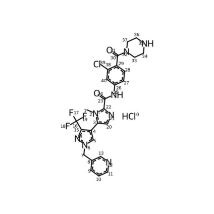 Cl.Cn1c(-c2cn(Cc3cccnc3)nc2C(F)(F)F)cnc1C(=O)Nc1ccc(C(=O)N2CCNCC2)c(Cl)c1